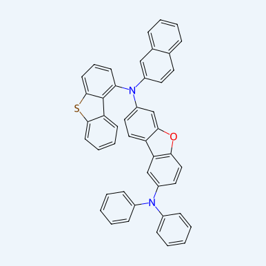 c1ccc(N(c2ccccc2)c2ccc3oc4cc(N(c5ccc6ccccc6c5)c5cccc6sc7ccccc7c56)ccc4c3c2)cc1